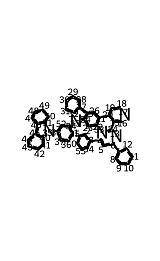 c1ccc(-c2cc(-c3ccccc3)nc(-c3cnccc3-c3ccc4c(c3)c3ccccc3n4-c3cccc(-n4c5ccccc5c5ccccc54)c3)n2)cc1